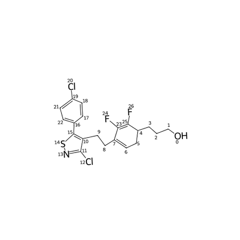 OCCCC1CC=C(CCc2c(Cl)nsc2-c2ccc(Cl)cc2)C(F)=C1F